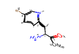 COC(=O)C(N)Cc1ccc(Br)cn1